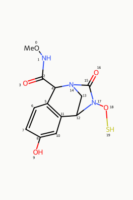 CONC(=O)C1c2ccc(O)cc2C2CN1C(=O)N2OS